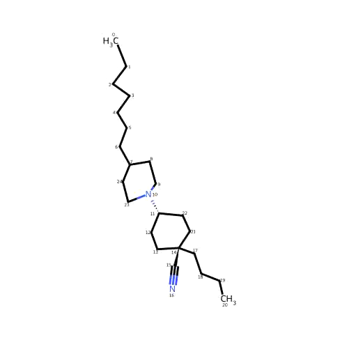 CCCCCCCC1CCN([C@H]2CC[C@@](C#N)(CCCC)CC2)CC1